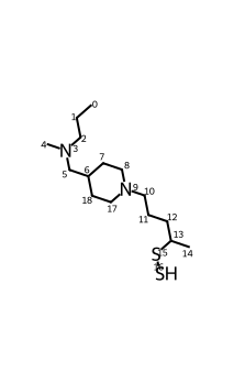 CCCN(C)CC1CCN(CCCC(C)SS)CC1